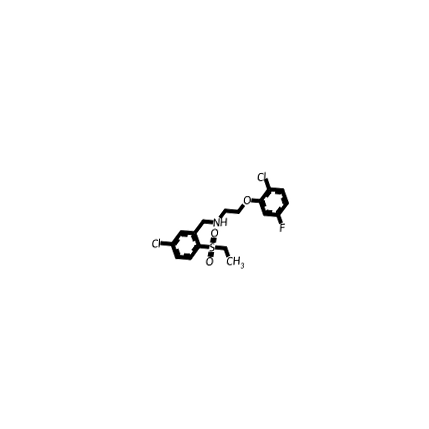 CCS(=O)(=O)c1ccc(Cl)cc1CNCCOc1cc(F)ccc1Cl